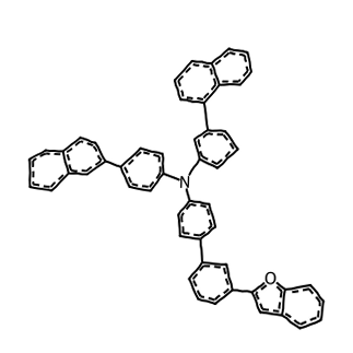 c1cc(-c2ccc(N(c3ccc(-c4ccc5ccccc5c4)cc3)c3cccc(-c4cccc5ccccc45)c3)cc2)cc(-c2cc3ccccc3o2)c1